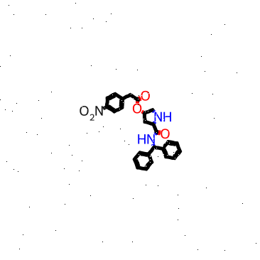 O=C(Cc1ccc([N+](=O)[O-])cc1)OC1CNC(C(=O)NC(c2ccccc2)c2ccccc2)C1